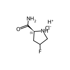 NC(=O)[C@@H]1CC(F)CN1.[Cl-].[H+]